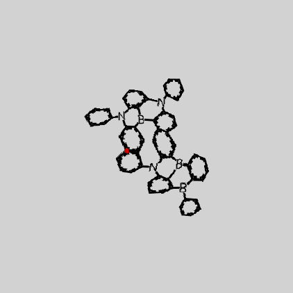 c1ccc(B2c3ccccc3B3c4cc5ccc6c(c5cc4N(c4ccccc4)c4cccc2c43)B2c3ccccc3N(c3ccccc3)c3cccc(c32)N6c2ccccc2)cc1